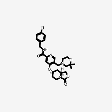 CC1(C)CN(Cc2cnc(C(=O)NCc3ccc(Cl)cc3)cc2O[C@H]2CCN3C(=O)OC[C@@H]3C2)CCO1